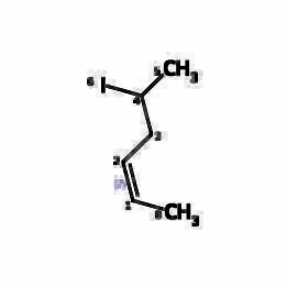 C/C=C\CC(C)I